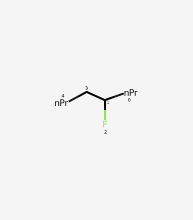 [CH2]CCC(F)CCCC